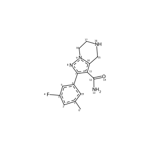 Cc1cc(F)cc(-c2nn3c(c2C(N)=O)CNCC3)c1